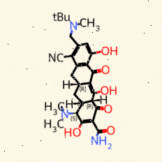 CN(C)[C@@H]1C(O)=C(C(N)=O)C(=O)[C@H]2C(O)=C3C(=O)c4c(O)cc(CN(C)C(C)(C)C)c(C#N)c4C[C@H]3C[C@H]21